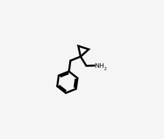 NCC1(Cc2ccccc2)CC1